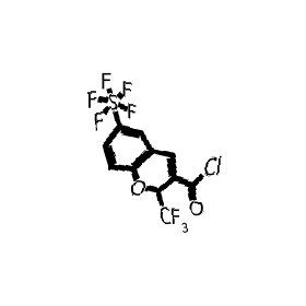 O=C(Cl)C1=Cc2cc(S(F)(F)(F)(F)F)ccc2OC1C(F)(F)F